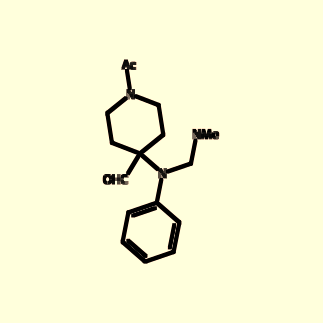 CNCN(c1ccccc1)C1(C=O)CCN(C(C)=O)CC1